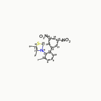 CC1=C(C)N(c2c(C)cccc2-c2cc([N+](=O)[O-])cc([N+](=O)[O-])c2)[C]S1